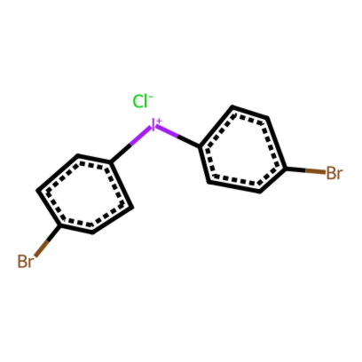 Brc1ccc([I+]c2ccc(Br)cc2)cc1.[Cl-]